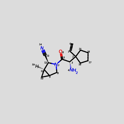 C=CC1([C@H](N)C(=O)N2CC3C[C@H]3[C@H]2C#N)CCCC1